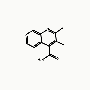 Cc1nc2ccccc2c(C(N)=O)c1C